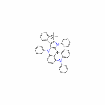 C[Si]1(C)c2ccccc2-c2c3c(n(-c4ccccc4)c21)B1c2ccccc2N(c2ccccc2)c2cccc(c21)N3c1ccccc1